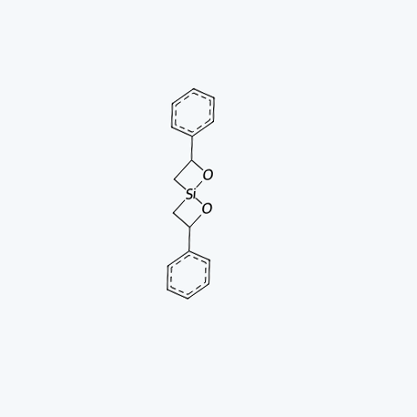 c1ccc(C2C[Si]3(CC(c4ccccc4)O3)O2)cc1